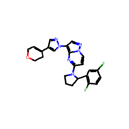 Fc1ccc(F)c(C2CCCN2c2ccn3ncc(-n4cc(C5=CCOCC5)cn4)c3n2)c1